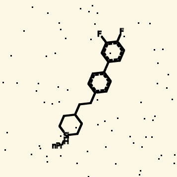 CCC[SiH]1CCC(CCc2ccc(-c3ccc(F)c(F)c3)cc2)CC1